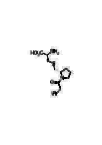 CC(C)CC(=O)N1CCC[C@H]1CSC[C@H](N)C(=O)O